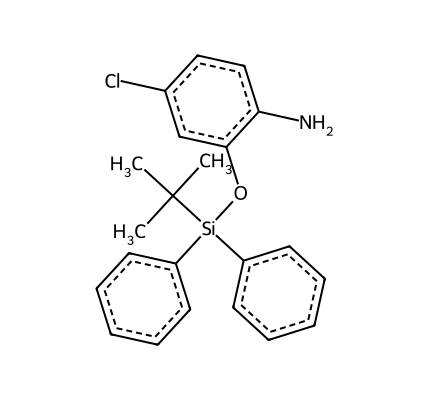 CC(C)(C)[Si](Oc1cc(Cl)ccc1N)(c1ccccc1)c1ccccc1